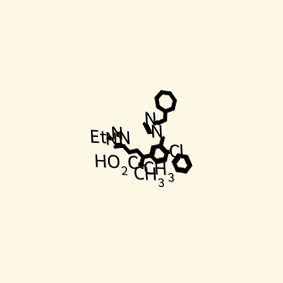 CCn1cc(CCC(c2ccc(Cl)c(Cn3ccnc3CC3CCCCCC3)c2)C(C)(C)C(=O)O)nn1.c1ccccc1